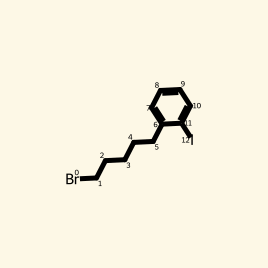 BrCCCCCc1ccccc1I